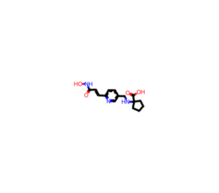 O=C(C=Cc1ccc(CNC2(C(=O)O)CCCC2)cn1)NO